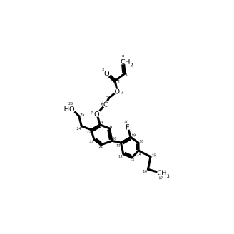 C=CC(=O)OCCOc1cc(-c2ccc(CCC)cc2F)ccc1CCO